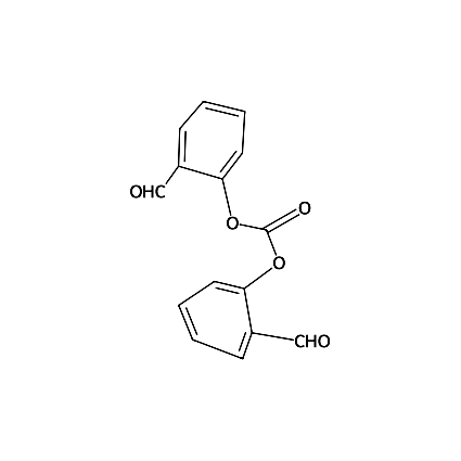 O=Cc1ccccc1OC(=O)Oc1ccccc1C=O